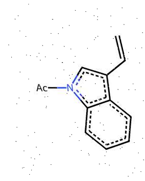 C=Cc1cn(C(C)=O)c2ccccc12